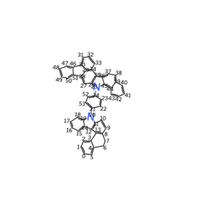 c1ccc2c(c1)CCc1ccc3c(c1-2)c1ccccc1n3-c1ccc(-n2c3cc4c5c(cccc5c3c3ccc5ccccc5c32)-c2ccccc2-4)cc1